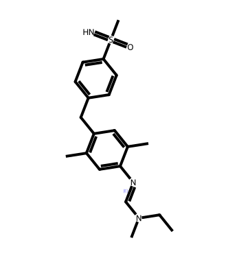 CCN(C)/C=N/c1cc(C)c(Cc2ccc(S(C)(=N)=O)cc2)cc1C